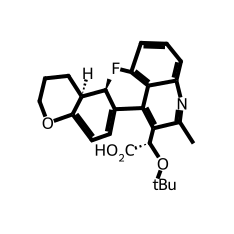 Cc1nc2cccc(F)c2c(C2=CC=C3OCCC[C@H]3[C@H]2C)c1[C@H](OC(C)(C)C)C(=O)O